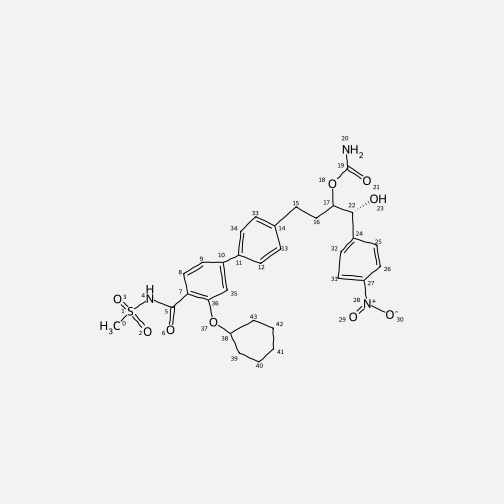 CS(=O)(=O)NC(=O)c1ccc(-c2ccc(CCC(OC(N)=O)[C@H](O)c3ccc([N+](=O)[O-])cc3)cc2)cc1OC1CCCCC1